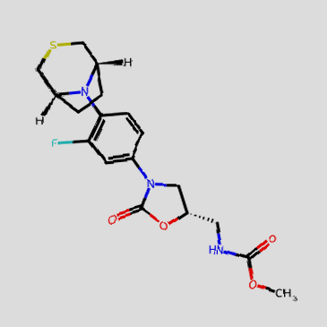 COC(=O)NC[C@H]1CN(c2ccc(N3[C@@H]4CC[C@H]3CSC4)c(F)c2)C(=O)O1